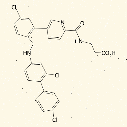 O=C(O)CCNC(=O)c1ccc(-c2cc(Cl)ccc2CNc2ccc(-c3ccc(Cl)cc3)c(Cl)c2)cn1